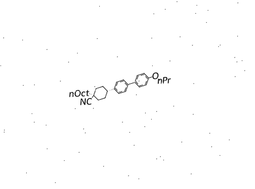 CCCCCCCC[C@]1(C#N)CC[C@H](c2ccc(-c3ccc(OCCC)cc3)cc2)CC1